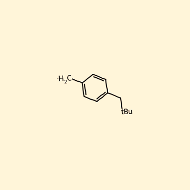 [CH2]c1ccc(CC(C)(C)C)cc1